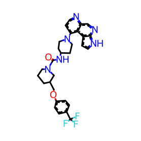 O=C(NC1CCN(c2ccnc3cnc4[nH]ccc4c23)CC1)N1CCCC(COc2ccc(C(F)(F)F)cc2)C1